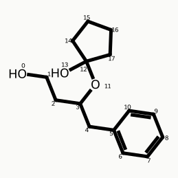 OCCC(Cc1ccccc1)OC1(O)CCCC1